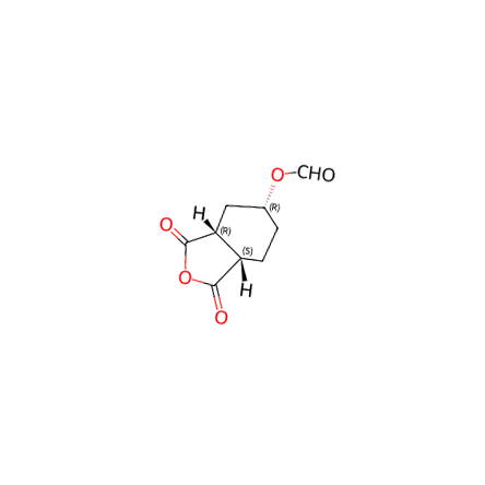 O=CO[C@@H]1CC[C@@H]2C(=O)OC(=O)[C@@H]2C1